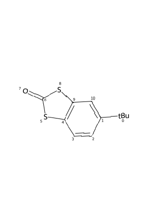 CC(C)(C)c1ccc2sc(=O)sc2c1